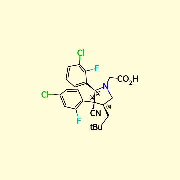 CC(C)(C)C[C@@H]1CN(CC(=O)O)[C@H](c2cccc(Cl)c2F)[C@@]1(C#N)c1ccc(Cl)cc1F